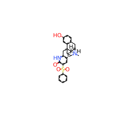 CN1CC[C@]23Cc4[nH]c(=O)c(S(=O)(=O)c5ccccc5)cc4C[C@H]2[C@H]1Cc1ccc(O)cc13